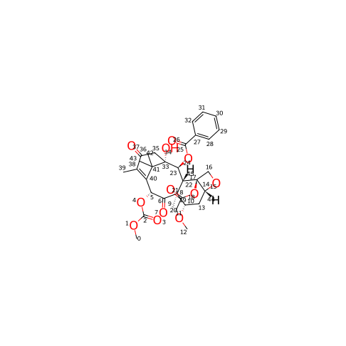 COC(=O)O[C@H]1C(=O)[C@]2(C)[C@@H](OC)C[C@H]3OC[C@@]3(OC(C)=O)[C@H]2[C@H](OC(=O)c2ccccc2)[C@]2(O)CC(=O)C(C)=C1C2(C)C